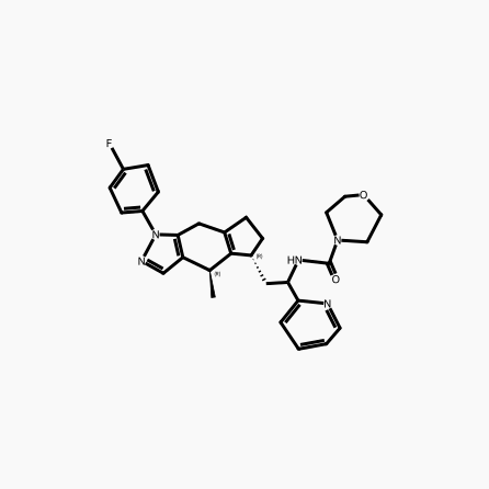 C[C@@H]1C2=C(CC[C@@H]2CC(NC(=O)N2CCOCC2)c2ccccn2)Cc2c1cnn2-c1ccc(F)cc1